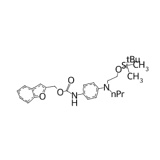 CCCN(CCO[Si](C)(C)C(C)(C)C)c1ccc(NC(=O)OCc2cc3ccccc3o2)cc1